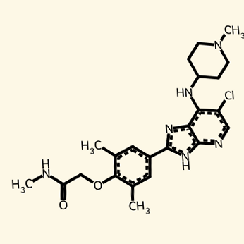 CNC(=O)COc1c(C)cc(-c2nc3c(NC4CCN(C)CC4)c(Cl)cnc3[nH]2)cc1C